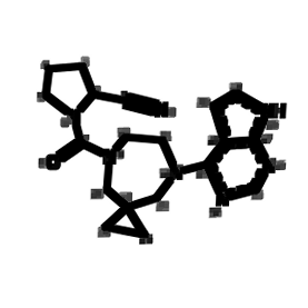 N#CC1CCCN1C(=O)N1CCN(c2ncnc3[nH]ccc23)CC2(CC2)C1